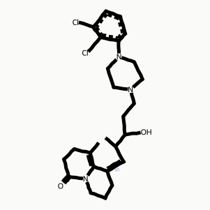 CC1=C2/C(=C\C(C)C(O)CCN3CCN(c4cccc(Cl)c4Cl)CC3)CCCN2C(=O)CC1